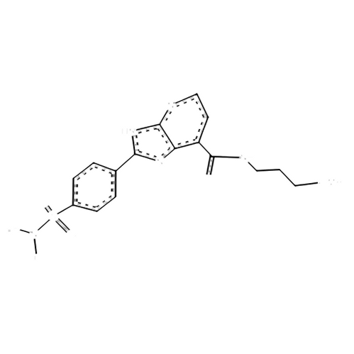 CCCN(CCC)S(=O)(=O)c1ccc(-c2nc3c(C(=O)NCCCOC)ccnc3[nH]2)cc1.Cl